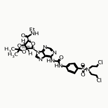 CCNC(=O)[C@H]1O[C@@H](n2cnc3c(NC(=O)Nc4ccc(S(=O)(=O)N(CCCl)CCCl)cc4)ncnc32)[C@@H]2OC(C)(C)O[C@@H]21